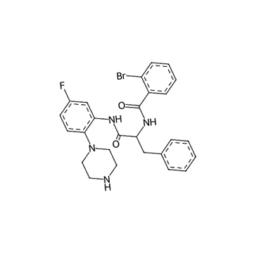 O=C(NC(Cc1ccccc1)C(=O)Nc1cc(F)ccc1N1CCNCC1)c1ccccc1Br